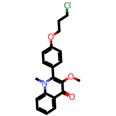 COc1c(-c2ccc(OCCCCl)cc2)n(C)c2ccccc2c1=O